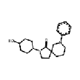 O=C1N(C2CCC(O)CC2)CCC12CCCN(c1ccccc1)C2